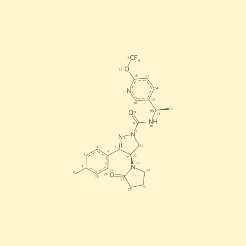 Cc1ccc(C2=NN(C(=O)N[C@H](C)c3ccc(OC(F)(F)F)nc3)C[C@H]2N2CCCC2=O)cc1